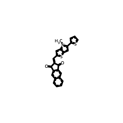 Cn1c(-c2cccs2)cc2sc(C=C3C(=O)c4cc5ccccc5cc4C3=O)cc21